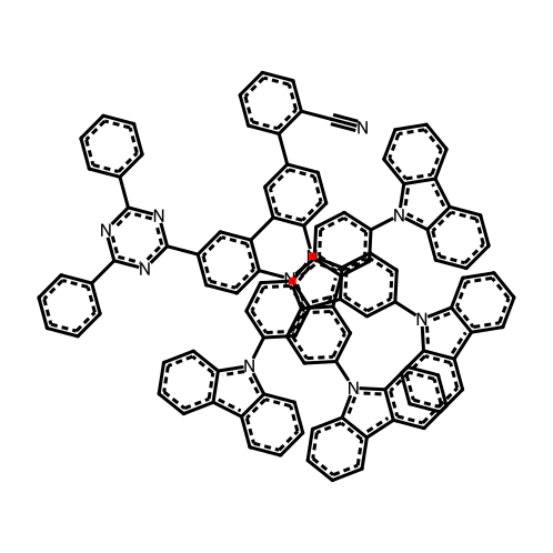 N#Cc1ccccc1-c1ccc(-n2c3ccc(-n4c5ccccc5c5ccccc54)cc3c3cc(-n4c5ccccc5c5ccccc54)ccc32)c(-c2cc(-c3nc(-c4ccccc4)nc(-c4ccccc4)n3)ccc2-n2c3ccc(-n4c5ccccc5c5ccccc54)cc3c3cc(-n4c5ccccc5c5ccccc54)ccc32)c1